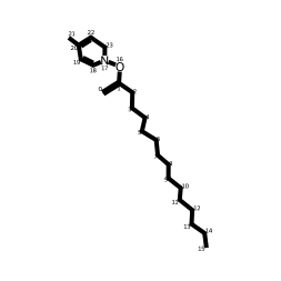 C=C(CCCCCCCCCCCCCC)ON1C=CC(C)=CC1